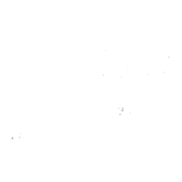 CCCCCCCCCCCCCCCCCCCC(c1ccccc1)S(=O)(=O)O.N